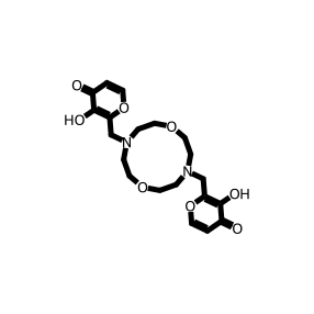 O=c1ccoc(CN2CCOCCN(Cc3occc(=O)c3O)CCOCC2)c1O